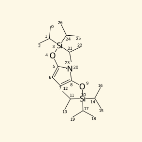 CC(C)[Si](OC1=CC=C(O[Si](C(C)C)(C(C)C)C(C)C)[N]1)(C(C)C)C(C)C